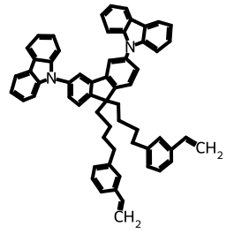 C=Cc1cccc(CCCCC2(CCCCc3cccc(C=C)c3)c3ccc(-n4c5ccccc5c5ccccc54)cc3-c3cc(-n4c5ccccc5c5ccccc54)ccc32)c1